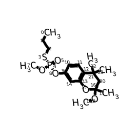 CCCSP(=O)(OC)Oc1ccc2c(c1)OC(C)(OC)CC2(C)C